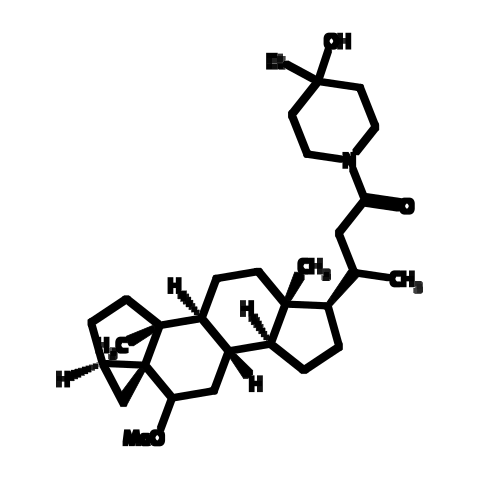 CCC1(O)CCN(C(=O)CC(C)[C@H]2CC[C@H]3[C@@H]4CC(OC)[C@]56C[C@H]5CC[C@]6(C)[C@H]4CC[C@]23C)CC1